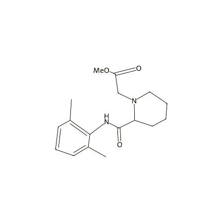 COC(=O)CN1CCCCC1C(=O)Nc1c(C)cccc1C